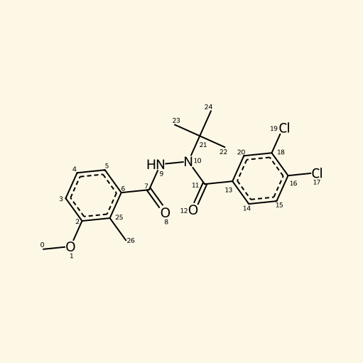 COc1cccc(C(=O)NN(C(=O)c2ccc(Cl)c(Cl)c2)C(C)(C)C)c1C